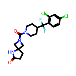 O=C1CCC2(CN(C(=O)N3CCC(C(F)(F)c4ccc(Cl)cc4Cl)CC3)C2)N1